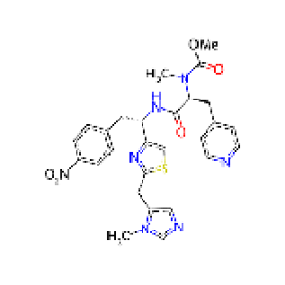 COC(=O)N(C)[C@@H](Cc1ccncc1)C(=O)N[C@@H](Cc1ccc([N+](=O)[O-])cc1)c1csc(Cc2cncn2C)n1